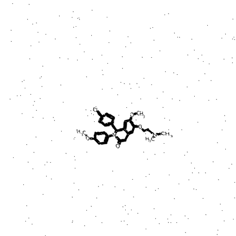 COc1ccc(N2C(=O)Cc3cc(OCCN(C)C)c(OC)cc3C2c2ccc(Cl)cc2)cc1